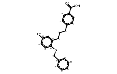 O=C(O)c1ccc(CCCc2cc(F)ccc2OCc2ccccc2)cc1